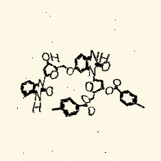 Cc1ccc(C(=O)OC[C@H]2O[C@@H](n3c(=O)[nH]c4ccc(OC[C@H]5O[C@@H](n6c(=O)[nH]c7ccccc76)CC5O)cc43)CC2OC(=O)c2ccc(C)cc2)cc1